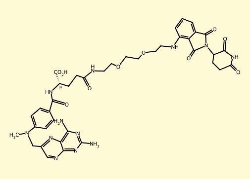 CN(Cc1cnc2nc(N)nc(N)c2n1)c1ccc(C(=O)N[C@@H](CCC(=O)NCCOCCOCCNc2cccc3c2C(=O)N(C2CCC(=O)NC2=O)C3=O)C(=O)O)cc1